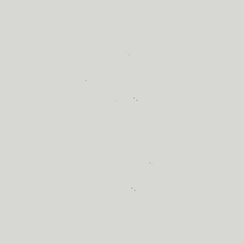 CCC1C(C)=C(O)C(=O)N1CCCn1ccnc1